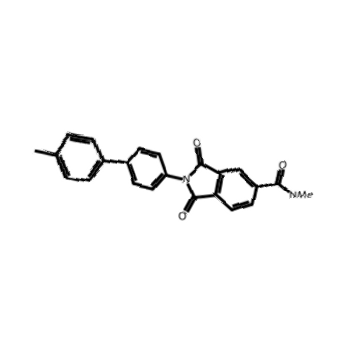 CNC(=O)c1ccc2c(c1)C(=O)N(c1ccc(-c3ccc(C)cc3)cc1)C2=O